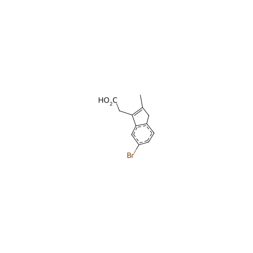 CC1=C(CC(=O)O)c2cc(Br)ccc2C1